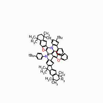 CC(C)(C)c1ccc(N2B3c4oc5cc6c(cc5c4N(c4ccc(C(C)(C)C)cc4-c4ccccc4)c4cc5c(oc7ccccc75)c(c43)-c3cc4c(cc32)C(C)(C)c2cc3c(cc2-4)C(C)(C)CCC3(C)C)C(C)(C)CCC6(C)C)cc1